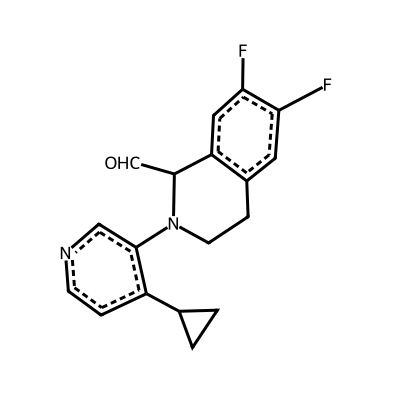 O=CC1c2cc(F)c(F)cc2CCN1c1cnccc1C1CC1